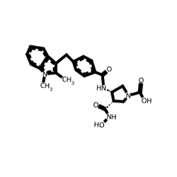 Cc1c(Cc2ccc(C(=O)N[C@@H]3CN(C(=O)O)C[C@@H]3C(=O)NO)cc2)c2ccccc2n1C